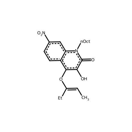 CC=C(CC)Oc1c(O)c(=O)n(CCCCCCCC)c2cc([N+](=O)[O-])ccc12